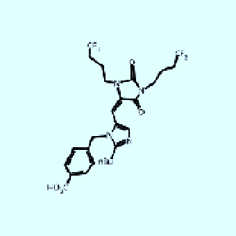 CCCCc1ncc(/C=C2\C(=O)N(CCCC(F)(F)F)C(=O)N2CCCC(F)(F)F)n1Cc1ccc(C(=O)O)cc1